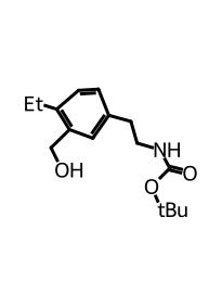 CCc1ccc(CCNC(=O)OC(C)(C)C)cc1CO